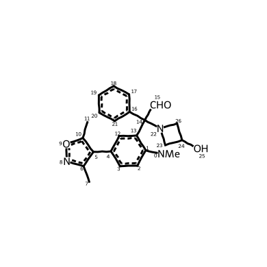 CNc1ccc(-c2c(C)noc2C)cc1C(C=O)(c1ccccc1)N1CC(O)C1